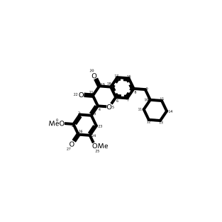 COC1=CC(=C2Oc3cc(CC4CCCCC4)ccc3C(=O)C2=O)C=C(OC)C1=O